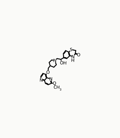 COc1ccc2nccc(OCC3CCN(C[C@H](O)c4ccc5c(c4)NC(=O)CS5)CC3)c2n1